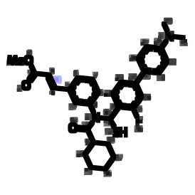 COC(=O)/C=C/c1cccc(N(C(=O)C2CCCCC2)[C@H](S)c2ccc(-c3ccc(N(C)C)cc3)cc2F)c1